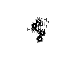 Cc1ncc(-c2ccc3[nH]nc(-c4nc5c(N6CCCCC6)ccnc5[nH]4)c3c2)n1C